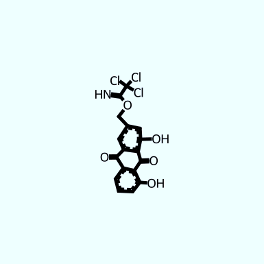 N=C(OCc1cc(O)c2c(c1)C(=O)c1cccc(O)c1C2=O)C(Cl)(Cl)Cl